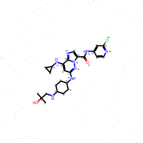 CC(C)(O)CNC1CCC(Nc2cc(NC3CC3)c3ncc(C(=O)Nc4ccnc(Cl)c4)n3n2)CC1